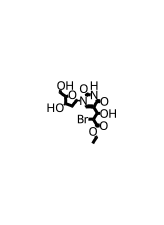 CCOC(=O)C(Br)C(O)c1cn([C@H]2C[C@@H](O)C(CO)O2)c(=O)[nH]c1=O